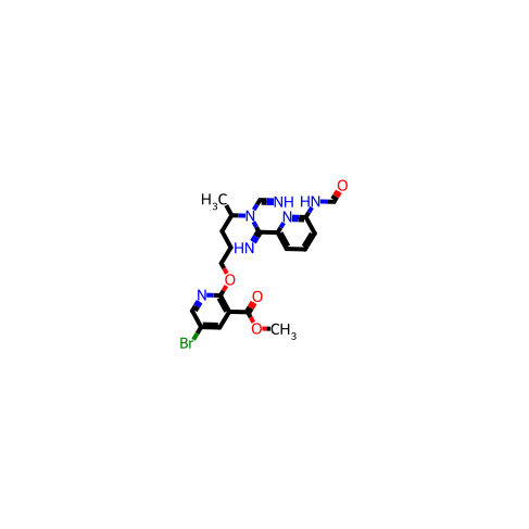 COC(=O)c1cc(Br)cnc1OCCCC(C)N(C=N)C(=N)c1cccc(NC=O)n1